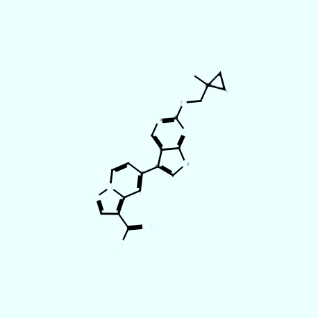 CC1(CNc2ncc3c(-c4ccn5ncc(C(N)=O)c5c4)c[nH]c3n2)CC1